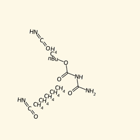 C.C.C.C.C.C.CCCCOC(=O)NC(N)=O.N=C=O.N=C=O